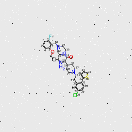 CCOc1cccc(F)c1CN1CCN(C(=O)[C@H](N)C2CCN(CCc3cc(Cl)ccc3-c3cccs3)CC2)CC1